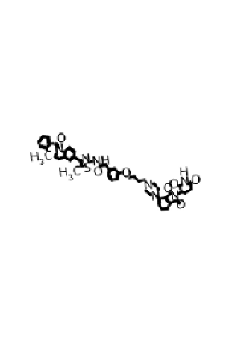 Cc1ccccc1C(=O)N1CCc2cc(-c3nc(NC(=O)Cc4cccc(OCCCCN5CCN(c6cccc7c6C(=O)N(C6CCC(=O)NC6=O)C7=O)CC5)c4)sc3C)ccc21